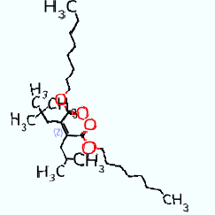 CCCCCCCCOC(=O)/C(CC(C)C)=C(/CC(C)(C)C)C(=O)OCCCCCCCC